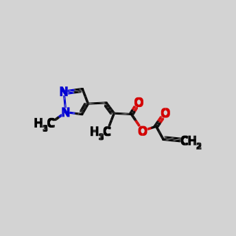 C=CC(=O)OC(=O)/C(C)=C/c1cnn(C)c1